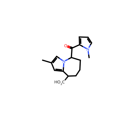 Cc1cc2n(c1)C(C(=O)c1cccn1C)CCCC2C(=O)O